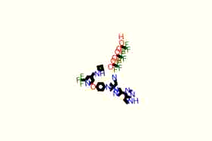 N#CCC1(n2cc(-c3ncnc4[nH]ccc34)cn2)CN([C@H]2CC[C@@H](Oc3cc(CNC4CCC4)cc(C(F)(F)F)n3)CC2)C1.O=C(O)C(F)(F)F.O=C(O)C(F)(F)F.O=C(O)C(F)(F)F